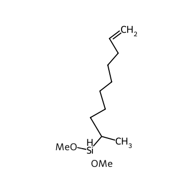 C=CCCCCCCC(C)[SiH](OC)OC